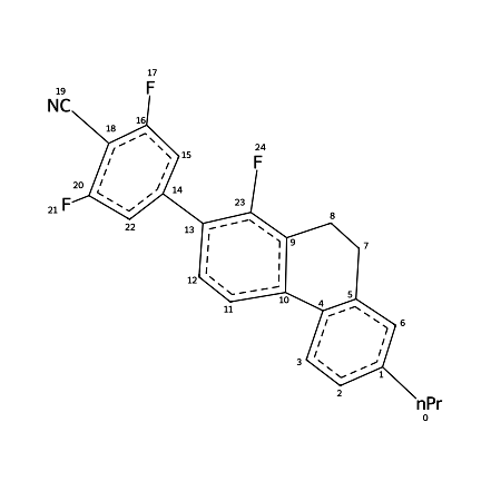 CCCc1ccc2c(c1)CCc1c-2ccc(-c2cc(F)c(C#N)c(F)c2)c1F